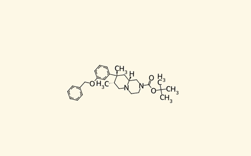 C[C@H]1CN2CCN(C(=O)OC(C)(C)C)C[C@H]2C[C@@]1(C)c1cccc(OCc2ccccc2)c1